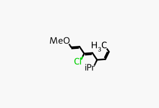 C/C=C\C(C=C(Cl)/C=C/OC)C(C)C